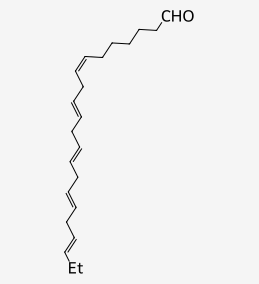 CCC=CCC=CCC=CCC=CC/C=C\CCCCCC=O